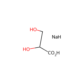 O=C(O)C(O)CO.[NaH]